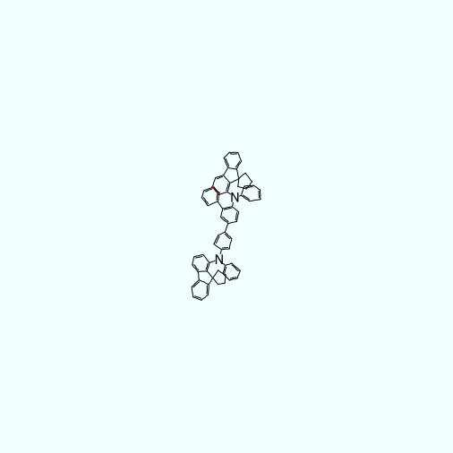 c1ccc(-c2cc(-c3ccc(N(c4ccccc4)c4cccc5c4C4(CCCC4)c4ccccc4-5)cc3)ccc2N(c2ccccc2)c2cccc3c2C2(CCCC2)c2ccccc2-3)cc1